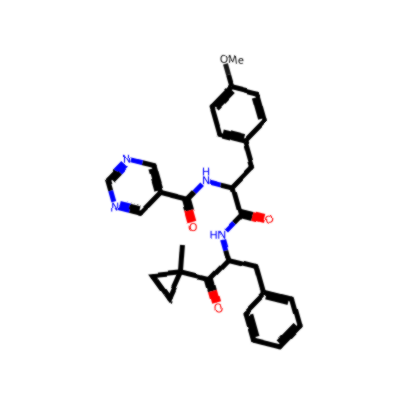 COc1ccc(CC(NC(=O)c2cncnc2)C(=O)NC(Cc2ccccc2)C(=O)C2(C)CC2)cc1